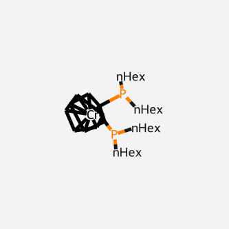 CCCCCCP(CCCCCC)[C]12[CH]3[CH]4[CH]5[C]1(P(CCCCCC)CCCCCC)[Cr]43521678[CH]2[CH]1[CH]6[CH]7[CH]28